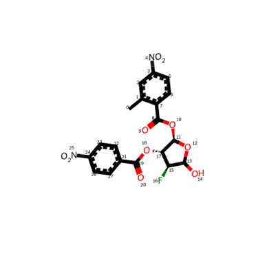 Cc1cc([N+](=O)[O-])ccc1C(=O)O[C@H]1OC(O)[C@@H](F)[C@@H]1OC(=O)c1ccc([N+](=O)[O-])cc1